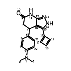 CN(C)c1ccc(C2CC(=O)Nc3n[nH]c(C4=CC=C4)c32)cc1